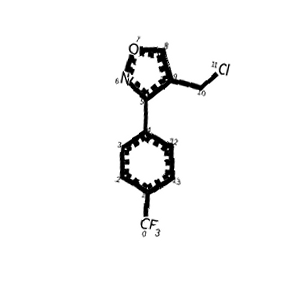 FC(F)(F)c1ccc(-c2nocc2CCl)cc1